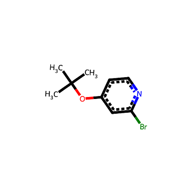 CC(C)(C)Oc1ccnc(Br)c1